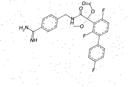 CO[C@@](OC(C)=O)(C(=O)NCc1ccc(C(=N)N)cc1)c1c(F)ccc(-c2ccc(F)cc2)c1F